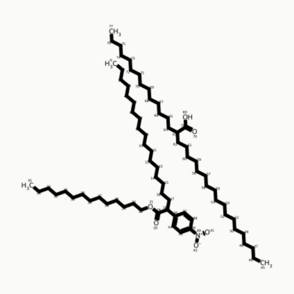 CCCCCCCCCCCCCCCCCCC(C(=O)OCCCCCCCCCCCCCC)c1ccc([N+](=O)[O-])cc1.CCCCCCCCCCCCCCCCCCC(CCCCCCCCCCCCCC)C(=O)O